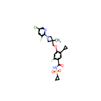 CC1(COc2cc(F)c(C(=O)NS(=O)(=O)C3CC3)cc2C2CC2)CN(c2ncc(Cl)cc2F)C1